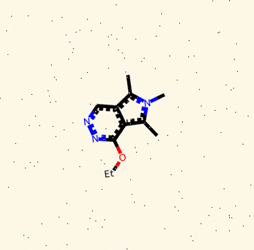 CCOc1nncc2c(C)n(C)c(C)c12